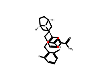 CC(C)(C)C(=O)N(CCN1[C@@H]2CC[C@H]1C[C@@H](c1cccc(C(N)=O)c1)C2)Cc1c(F)cccc1F